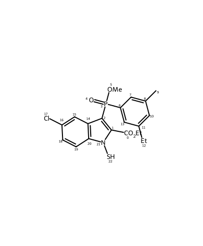 CCOC(=O)c1c(P(=O)(OC)c2cc(C)cc(CC)c2)c2cc(Cl)ccc2n1S